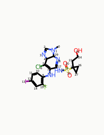 CN1C=NC2C(Cl)=C(Nc3ccc(I)cc3F)C(NS(=O)(=O)C3(CCO)CC3)=NC21